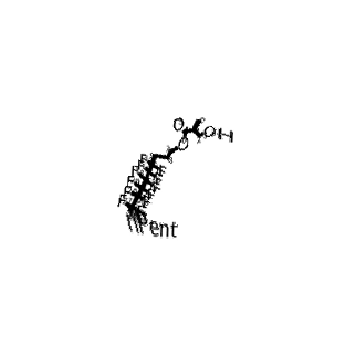 C=C(CO)C(=O)OCCCC(F)(F)C(F)(F)C(F)(F)C(F)(F)C(F)(F)C(F)(F)CCCCC